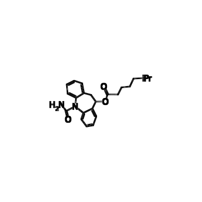 CC(C)CCCCC(=O)OC1Cc2ccccc2N(C(N)=O)c2ccccc21